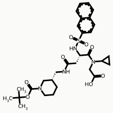 CC(C)(C)OC(=O)N1CCC[C@@H](CNC(=O)C[C@H](NS(=O)(=O)c2ccc3ccccc3c2)C(=O)N(CC(=O)O)C2CC2)C1